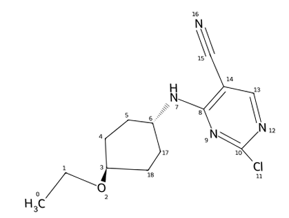 CCO[C@H]1CC[C@H](Nc2nc(Cl)ncc2C#N)CC1